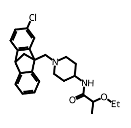 CCOC(C)C(=O)NC1CCN(CC23CC(c4ccccc42)c2ccc(Cl)cc23)CC1